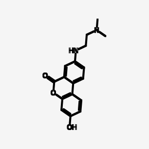 CN(C)CCNc1ccc2c(c1)c(=O)oc1cc(O)ccc12